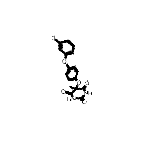 CC1(Oc2ccc(Oc3cccc(Cl)c3)cc2)C(=O)NC(=O)NC1=O